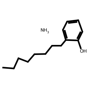 CCCCCCCCc1ccccc1O.N